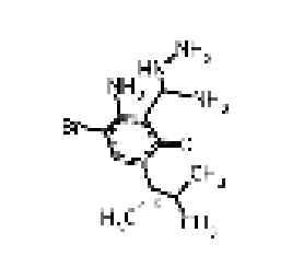 CC(C)[C@H](C)n1cc(Br)c(N)c(C(N)NN)c1=O